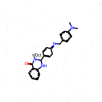 CCCCCCCCN1C(=O)c2ccccc2NC1C1=CCC(=NCc2ccc(N(C)C)cc2)C=C1